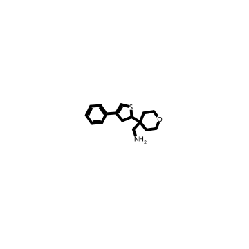 NCC1(C2CC(c3ccccc3)=CS2)CCOCC1